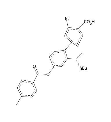 CCCC[C@@H](C)c1cc(OC(=O)c2ccc(C)cc2)ccc1-c1ccc(C(=O)O)c(CC)c1